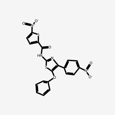 O=C(Nc1nc(-c2ccc([N+](=O)[O-])cc2)c(Oc2ccccc2)s1)c1ccc([N+](=O)[O-])s1